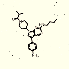 CCCCNc1ncc2c(-c3ccc(N)cc3)cn(C3CCN(C(=O)C(C)C)CC3)c2n1